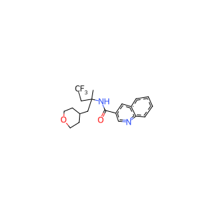 CC(CC1CCOCC1)(CC(F)(F)F)NC(=O)c1cnc2ccccc2c1